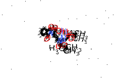 CC(C)(C)OC(=O)CNN(CCCC(C(=O)O)N1C(=O)c2ccccc2C1=O)C(=O)OC(C)(C)C